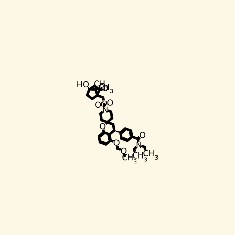 CCN(CC)C(=O)c1ccc([C@@H]2CC3(CCN(S(=O)(=O)CC45CC[C@](O)(CC4=O)C5(C)C)CC3)Oc3cccc(OCOC)c32)cc1